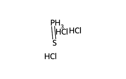 Cl.Cl.Cl.[PH3]=S